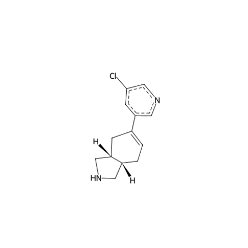 Clc1cncc(C2=CC[C@@H]3CNC[C@@H]3C2)c1